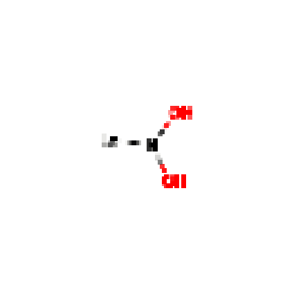 O[B](O)[La]